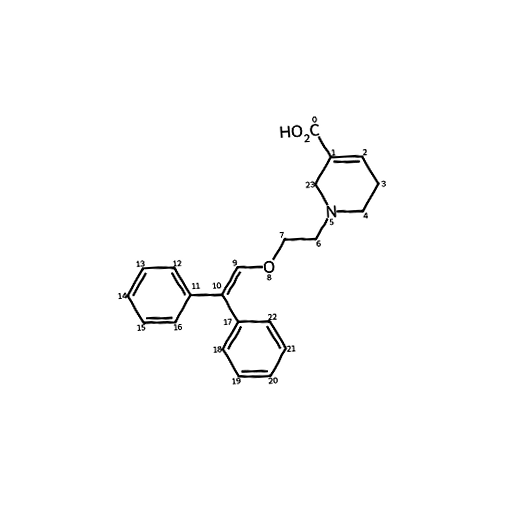 O=C(O)C1=CCCN(CCOC=C(c2ccccc2)c2ccccc2)C1